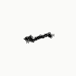 CCN(C)S(=O)(=O)Nc1ccc(F)c(C(=O)c2c[nH]c3ncc(-c4ccc(N5CCN(C(=O)CN6CCC(c7ccc(O[C@H]8CCC(=O)NC8=O)cc7)CC6)CC5)nc4)cc23)c1F